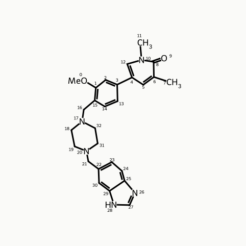 COc1cc(-c2cc(C)c(=O)n(C)c2)ccc1CN1CCN(Cc2ccc3nc[nH]c3c2)CC1